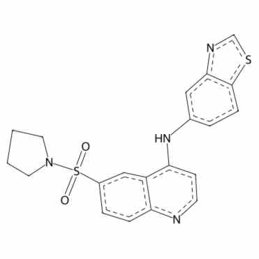 O=S(=O)(c1ccc2nccc(Nc3ccc4scnc4c3)c2c1)N1CCCC1